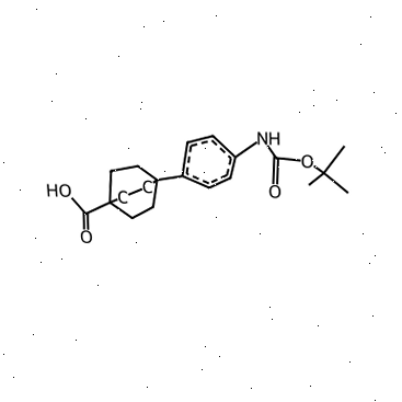 CC(C)(C)OC(=O)Nc1ccc(C23CCC(C(=O)O)(CC2)CC3)cc1